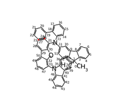 CC1(C)c2ccccc2-c2cc(N(c3ccccc3-c3ccccc3)c3cccc4c3oc3c(-n5c6ccccc6c6ccccc65)cccc34)ccc21